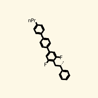 CCCc1ccc(-c2ccc(-c3cc(F)c(C[C@H](C)c4ccccc4)c(F)c3)cc2)cc1